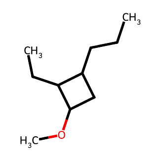 CCCC1CC(OC)C1CC